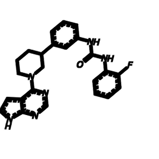 O=C(Nc1cccc(C2CCCN(c3ncnc4[nH]ccc34)C2)c1)Nc1ccccc1F